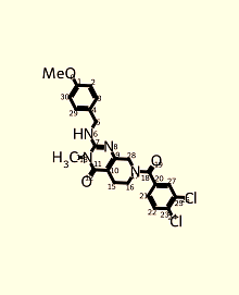 COc1ccc(CNc2nc3c(c(=O)n2C)CCN(C(=O)c2ccc(Cl)c(Cl)c2)C3)cc1